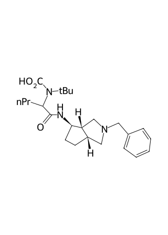 CCCC(C(=O)N[C@@H]1CC[C@H]2CN(Cc3ccccc3)C[C@H]21)N(C(=O)O)C(C)(C)C